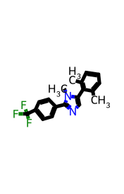 Cc1cccc(C)c1-c1cnc(-c2ccc(C(F)(F)F)cc2)n1C